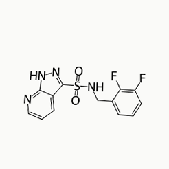 O=S(=O)(NCc1cccc(F)c1F)c1n[nH]c2ncccc12